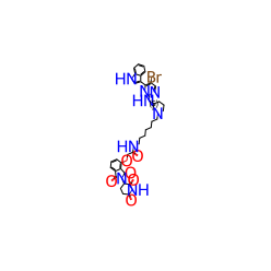 O=C(COc1cccc2c1C(=O)N(C1CCC(=O)NC1=O)C2=O)NCCCCCCCN1CCC[C@H](Nc2ncc(Br)c(-c3c[nH]c4ccccc34)n2)C1